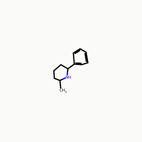 CC1CCCC(c2ccccc2)N1